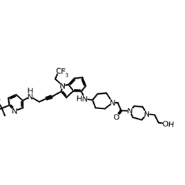 CC(C)(C#N)c1ccc(NCC#Cc2cc3c(NC4CCN(CC(=O)N5CCN(CCO)CC5)CC4)cccc3n2CC(F)(F)F)cn1